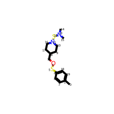 Cc1ccc(SOCC2CCN(SN(C)C)CC2)cc1